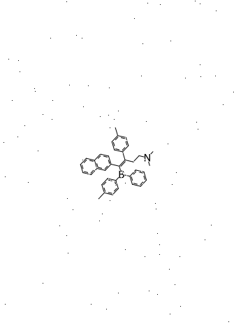 Cc1ccc(B(/C(=C(\CCN(C)C)c2ccc(C)cc2)c2ccc3ccccc3c2)c2ccccc2)cc1